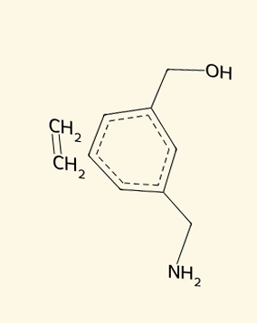 C=C.NCc1cccc(CO)c1